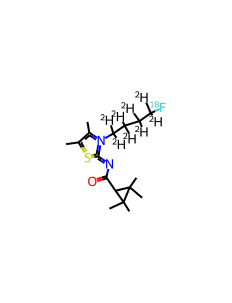 [2H]C([2H])([18F])C([2H])([2H])C([2H])([2H])C([2H])([2H])n1c(C)c(C)sc1=NC(=O)C1C(C)(C)C1(C)C